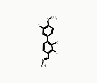 COc1ccc(-c2ccc(C=NO)c(Cl)c2Cl)cc1F